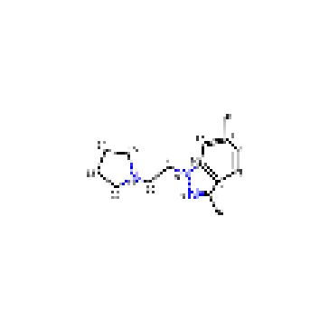 Cc1ccc2c(C)nn(CCN3CCCC3)c2c1